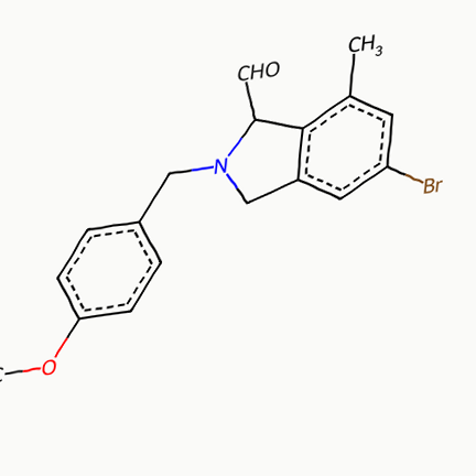 Cc1cc(Br)cc2c1C(C=O)N(Cc1ccc(OC(F)(F)F)cc1)C2